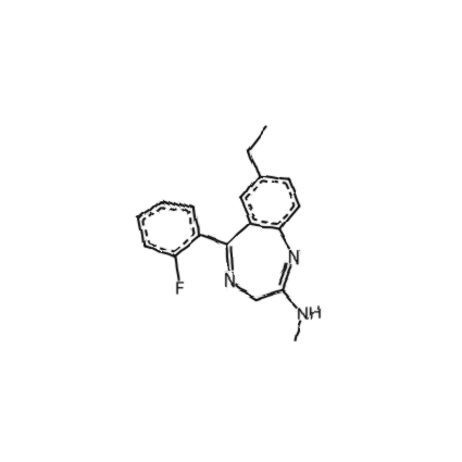 CCc1ccc2c(c1)C(c1ccccc1F)=NCC(NC)=N2